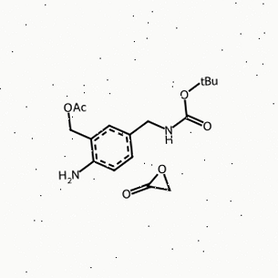 CC(=O)OCc1cc(CNC(=O)OC(C)(C)C)ccc1N.O=C1CO1